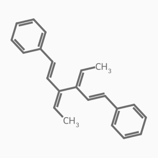 CC=C(C=Cc1ccccc1)C(C=Cc1ccccc1)=CC